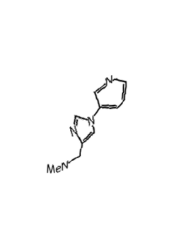 CNCc1cn(-c2cccnc2)cn1